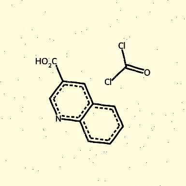 O=C(Cl)Cl.O=C(O)c1cnc2ccccc2c1